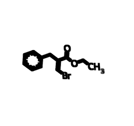 CCOC(=O)C(=CBr)Cc1ccccc1